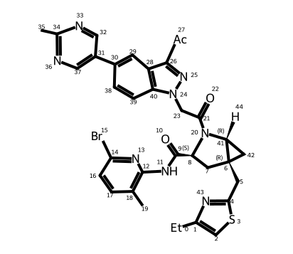 CCc1csc(C[C@@]23C[C@@H](C(=O)Nc4nc(Br)ccc4C)N(C(=O)Cn4nc(C(C)=O)c5cc(-c6cnc(C)nc6)ccc54)[C@@H]2C3)n1